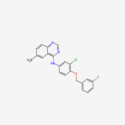 Bc1ccc2ncnc(Nc3ccc(OCc4cccc(F)c4)c(Cl)c3)c2c1